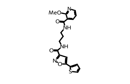 COc1ncccc1C(=O)NCCCNC(=O)c1cc(-c2cccs2)on1